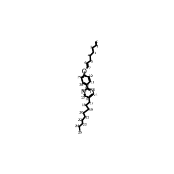 CCCCCCC=COc1ccc(-c2ncc(CCCCCCCCC)cn2)cc1